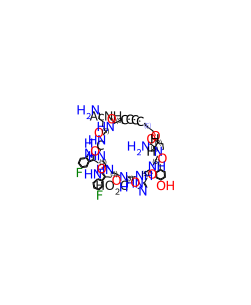 CC(=O)N[C@H]1CCCC/C=C/CO[C@@H]2CCN(C(=O)[C@H](Cc3ccc(O)cc3)NC(=O)[C@H](Cc3cnc[nH]3)NC(=O)[C@H](CC(=O)O)NC(=O)[C@H](Cc3c[nH]c4ccc(F)cc34)NC(=O)[C@H](Cc3c[nH]c4ccc(F)cc34)NC(=O)CNC(=O)[C@H](CCCCN)NC1=O)[C@@H]2C(N)=O